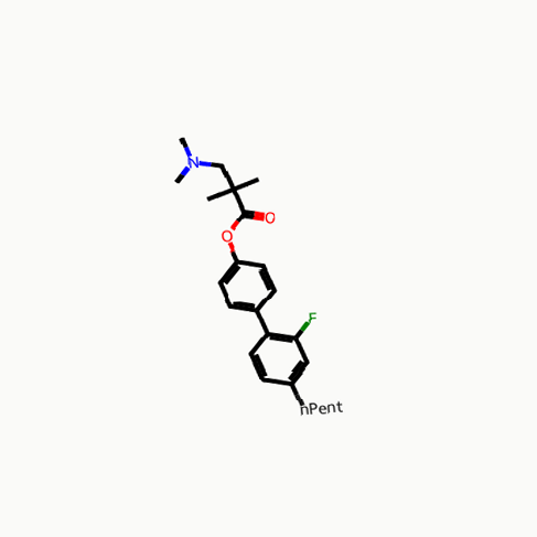 CCCCCc1ccc(-c2ccc(OC(=O)C(C)(C)CN(C)C)cc2)c(F)c1